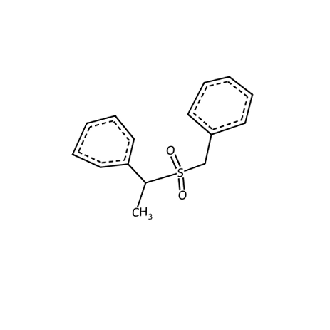 CC(c1ccccc1)S(=O)(=O)Cc1ccccc1